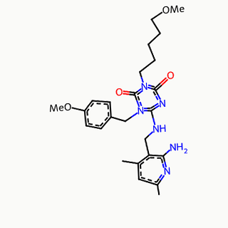 COCCCCCn1c(=O)nc(NCc2c(C)cc(C)nc2N)n(Cc2ccc(OC)cc2)c1=O